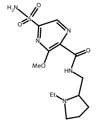 CCN1CCCC1CNC(=O)c1ncc(S(N)(=O)=O)nc1OC